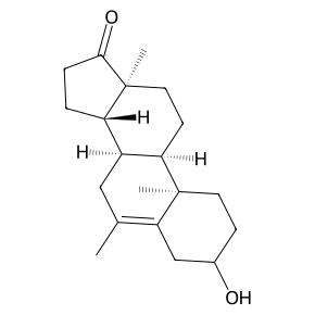 CC1=C2CC(O)CC[C@]2(C)[C@@H]2CC[C@]3(C)C(=O)CC[C@H]3[C@@H]2C1